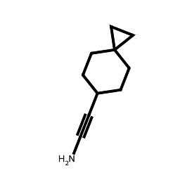 NC#CC1CCC2(CC1)CC2